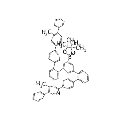 Cc1cc(-c2ccc(-c3ccccc3-c3cc(B4OC(C)(C)C(C)(C)O4)cc(-c4ccccc4-c4ccc(-c5cc(C)c(-c6ccccc6)cn5)cc4)c3)cc2)ncc1-c1ccccc1